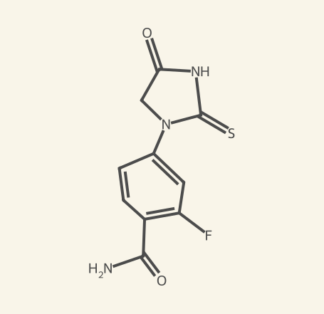 NC(=O)c1ccc(N2CC(=O)NC2=S)cc1F